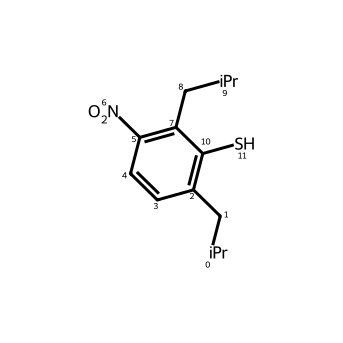 CC(C)Cc1ccc([N+](=O)[O-])c(CC(C)C)c1S